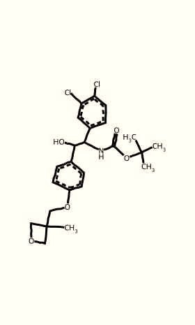 CC1(COc2ccc(C(O)C(NC(=O)OC(C)(C)C)c3ccc(Cl)c(Cl)c3)cc2)COC1